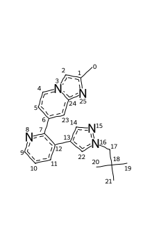 Cc1cn2ccc(-c3ncccc3-c3cnn(CC(C)(C)C)c3)cc2n1